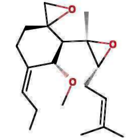 CC/C=C1/CC[C@]2(CO2)[C@@H]([C@@]2(C)O[C@@H]2CC=C(C)C)[C@@H]1OC